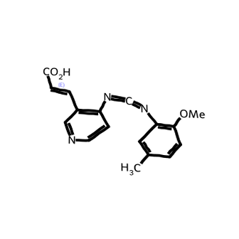 COc1ccc(C)cc1N=C=Nc1ccncc1/C=C/C(=O)O